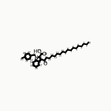 CCCCCCCCCCCCCCCCCC(=O)c1c(C(=O)O)n(Cc2ccc(C)cc2)c2ccccc12